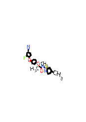 Cc1ccc2nc(N(C)C(=O)[C@@H](C)Oc3ccc(Oc4ccc(C#N)cc4F)cc3)sc2c1